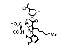 COCCCCc1c(C(=O)N(CC(C)C)[C@@H]2CNC[C@H](C(C)O)C2)nnn1-c1cccc(F)c1F.O=C(O)C=CC(=O)O